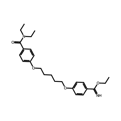 CCOC(=N)c1ccc(OCCCCCOc2ccc(C(=O)N(CC)CC)cc2)cc1